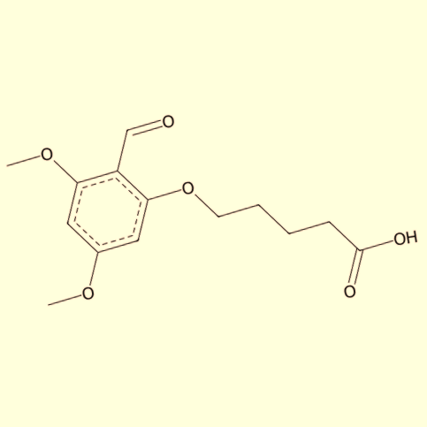 COc1cc(OC)c(C=O)c(OCCCCC(=O)O)c1